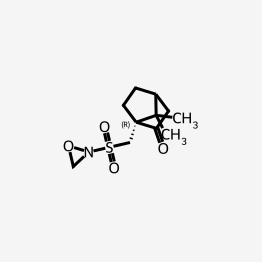 CC1(C)C2CC[C@]1(CS(=O)(=O)N1CO1)C(=O)C2